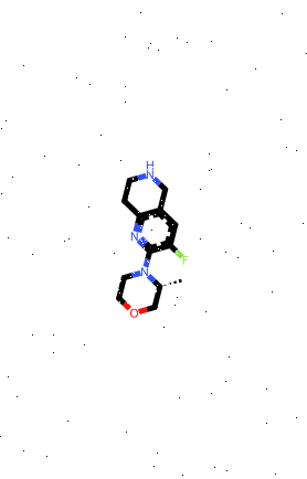 C[C@@H]1COCCN1c1nc2c(cc1F)CNCC2